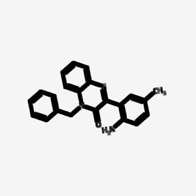 Cc1ccc(N)c(-c2nc3ccccc3n(Cc3ccccc3)c2=O)c1